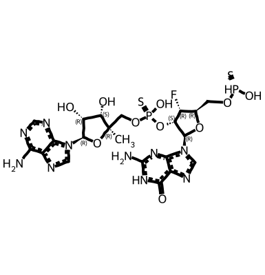 C[C@]1(COP(O)(=S)O[C@@H]2[C@H](F)[C@@H](CO[PH](O)=S)O[C@H]2n2cnc3c(=O)[nH]c(N)nc32)O[C@@H](n2cnc3c(N)ncnc32)[C@H](O)[C@@H]1O